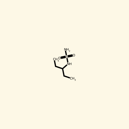 CCC(CC)NS(N)(=O)=O